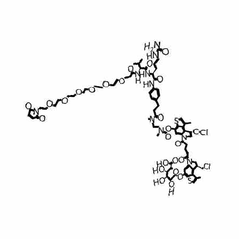 Cc1csc2c(OC(=O)N(C)CCN(C)C(=O)CCc3ccc(NC(=O)[C@H](CCCNC(N)=O)NC(=O)[C@@H](NC(=O)CCOCCOCCOCCOCCOCCOCCN4C(=O)C=CC4=O)C(C)C)cc3)cc3c(c12)[C@H](CCl)CN3C(=O)CCCC(=O)N1C[C@@H](CCl)c2c1cc(O[C@@H]1O[C@H](C(=O)O)[C@@H](O)[C@H](O)[C@H]1O)c1scc(C)c21